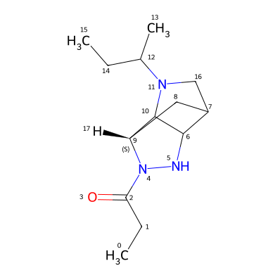 CCC(=O)N1NC2C3C[C@H]1C2N(C(C)CC)C3